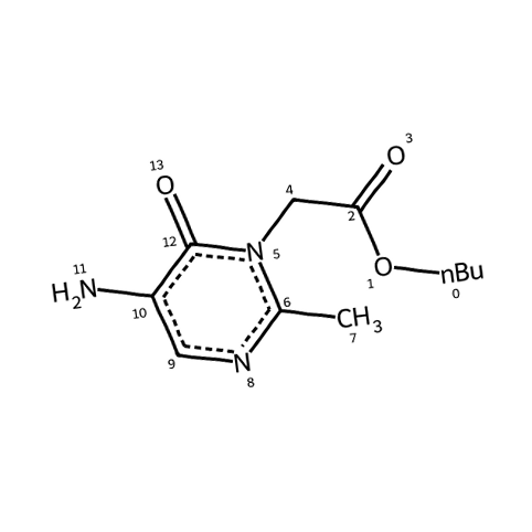 CCCCOC(=O)Cn1c(C)ncc(N)c1=O